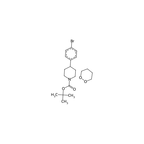 C1CCOOC1.CC(C)(C)OC(=O)N1CCC(c2ccc(Br)cc2)CC1